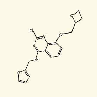 Clc1nc(NCc2ccco2)c2cccc(OCC3CCO3)c2n1